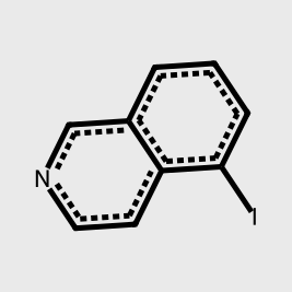 Ic1cccc2cnccc12